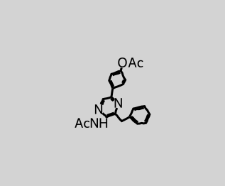 CC(=O)Nc1ncc(-c2ccc(OC(C)=O)cc2)nc1Cc1ccccc1